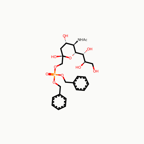 CC(=O)N[C@H]1[C@H]([C@H](O)[C@H](O)CO)O[C@](O)(COP(=O)(OCc2ccccc2)OCc2ccccc2)C[C@@H]1O